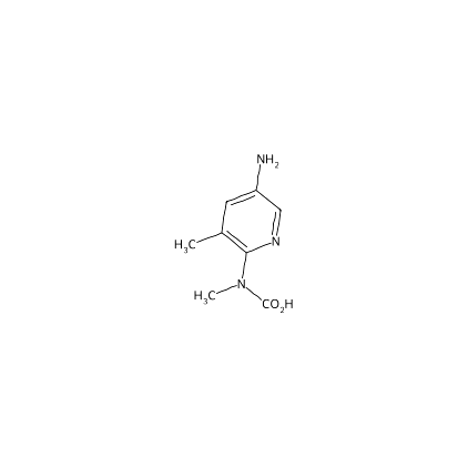 Cc1cc(N)cnc1N(C)C(=O)O